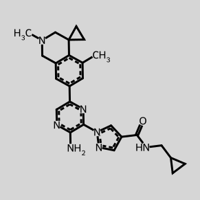 Cc1cc(-c2cnc(N)c(-n3cc(C(=O)NCC4CC4)cn3)n2)cc2c1C1(CC1)CN(C)C2